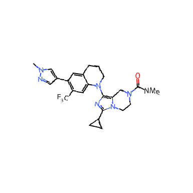 CNC(=O)N1CCn2c(C3CC3)nc(N3CCCc4cc(-c5cnn(C)c5)c(C(F)(F)F)cc43)c2C1